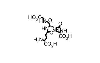 N[C@@H](CCC(=O)N[C@@H](CS)C(=O)NCC(=O)O)C(=O)O.O=C1CC[C@@H](C(=O)O)N1